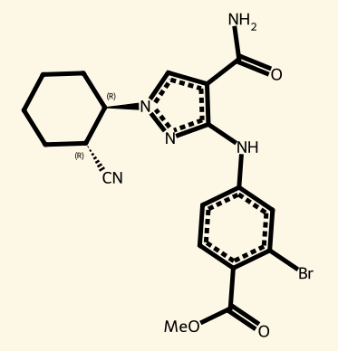 COC(=O)c1ccc(Nc2nn([C@@H]3CCCC[C@H]3C#N)cc2C(N)=O)cc1Br